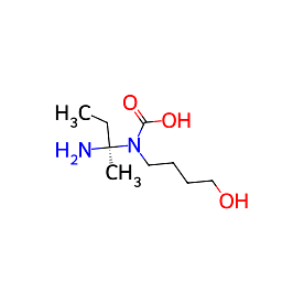 CC[C@](C)(N)N(CCCCO)C(=O)O